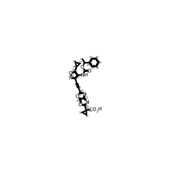 CC(OC(=O)Nc1c(C#Cc2nc3nc(C4(C(=O)O)CC4)oc3o2)noc1C1CC1)c1ccccc1